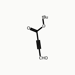 CC(C)(C)OC(=O)C#CC=O